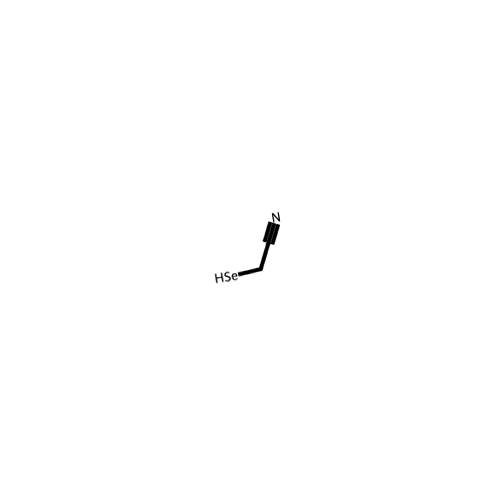 N#CC[SeH]